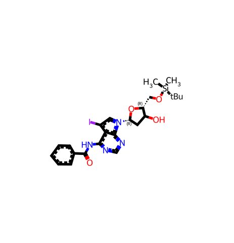 CC(C)(C)[Si](C)(C)OC[C@H]1O[C@@H](n2cc(I)c3c(NC(=O)c4ccccc4)ncnc32)CC1O